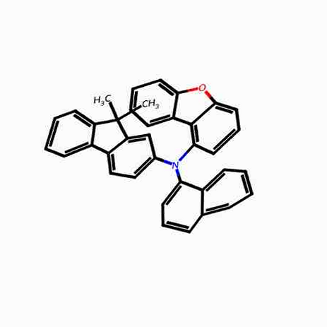 CC1(C)c2ccccc2-c2ccc(N(c3cccc4ccccc34)c3cccc4oc5ccccc5c34)cc21